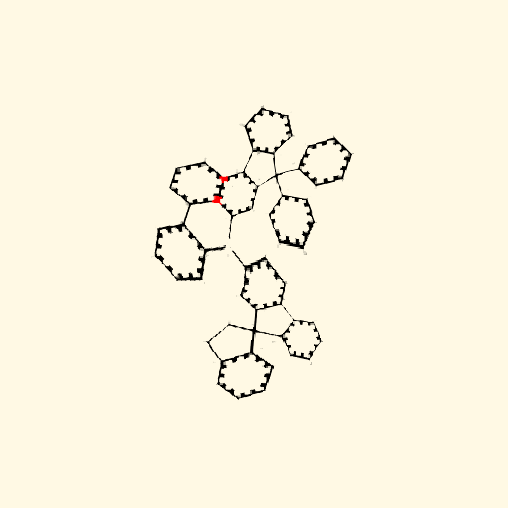 c1ccc(-c2ccccc2N(c2ccc3c(c2)C2(CCc4ccccc42)c2ccccc2-3)c2ccc3c(c2)C(c2ccccc2)(c2ccccc2)c2ccccc2-3)cc1